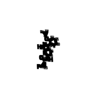 O=C(Nc1ccc2c(-c3ccccc3OC3CC3)n[nH]c2n1)[C@@H]1C[C@@H]1F